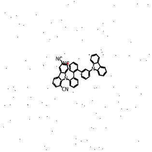 N#Cc1ccc(-c2cccc(-n3c4ccccc4c4ccccc43)c2)c(-c2ccccc2-n2c3ccc(C#N)cc3c3cccc(C#N)c32)c1